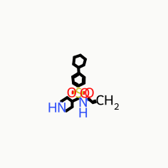 C=CC(=O)NC(C1CCNCC1)S(=O)(=O)c1ccc(C2CCCCC2)cc1